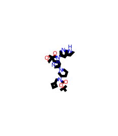 CC(C)(C)OC(=O)N(CC1CCC1)[C@@H]1CCCN(c2ccc(C3(C(=O)Nc4cnc5[nH]ccc5c4)COC3)nc2)C1